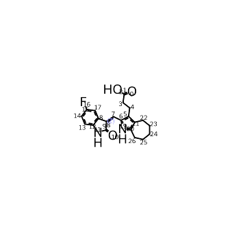 O=C(O)CCc1c(/C=C2\C(=O)Nc3ccc(F)cc32)[nH]c2c1CCCCC2